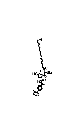 Cc1ncsc1-c1ccc(C(C)NC(=O)[C@@H]2C[C@@H](O)CN2C(=O)C(NC(=O)CCCCCCCCCCCCCO)C(C)(C)C)cc1